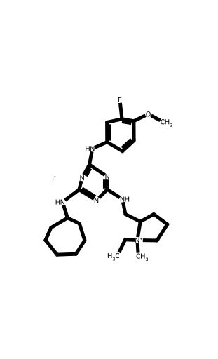 CC[N+]1(C)CCCC1CNc1nc(Nc2ccc(OC)c(F)c2)nc(NC2CCCCCC2)n1.[I-]